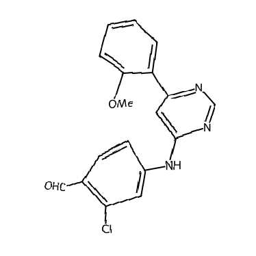 COc1ccccc1-c1cc(Nc2ccc(C=O)c(Cl)c2)ncn1